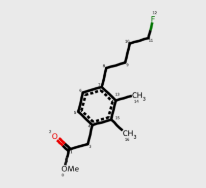 COC(=O)Cc1ccc(CCCCF)c(C)c1C